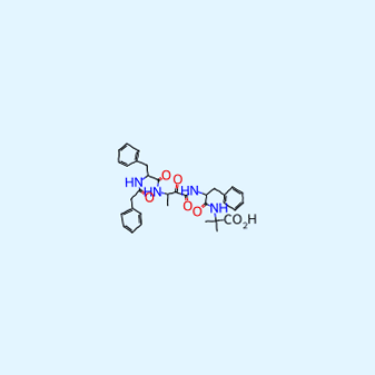 CC(NC(=O)C(Cc1ccccc1)NC(=O)Cc1ccccc1)C(=O)C(=O)NC(Cc1ccccc1)C(=O)NC(C)(C)C(=O)O